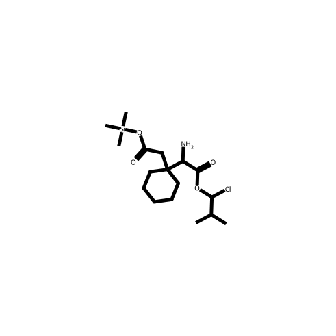 CC(C)C(Cl)OC(=O)C(N)C1(CC(=O)O[Si](C)(C)C)CCCCC1